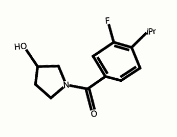 CC(C)c1ccc(C(=O)N2CCC(O)C2)cc1F